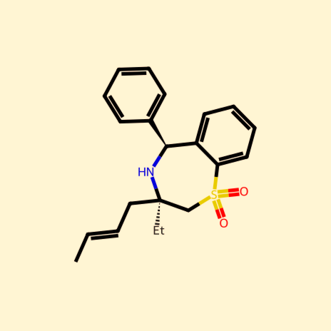 C/C=C/C[C@]1(CC)CS(=O)(=O)c2ccccc2[C@H](c2ccccc2)N1